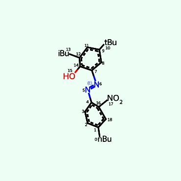 CCCCc1ccc(/N=N/c2cc(C(C)(C)C)cc(C(C)CC)c2O)c([N+](=O)[O-])c1